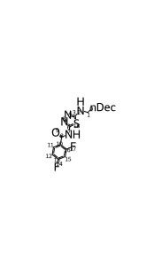 CCCCCCCCCCCNc1nnc(NC(=O)c2ccc(F)cc2F)s1